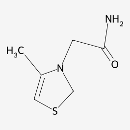 CC1=CSCN1CC(N)=O